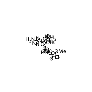 COC(=O)c1ccccc1C(=O)CCC(=O)NS(=O)(=O)OC[C@H]1O[C@@H](n2cnc3c(N)ncnc32)[C@H](O[Si](C)(C)C(C)(C)C)[C@@H]1O